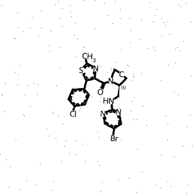 Cc1nc(C(=O)N2CCC[C@H]2CNc2ncc(Br)cn2)c(-c2ccc(Cl)cc2)s1